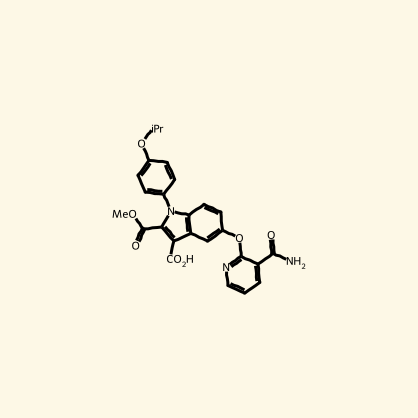 COC(=O)c1c(C(=O)O)c2cc(Oc3ncccc3C(N)=O)ccc2n1-c1ccc(OC(C)C)cc1